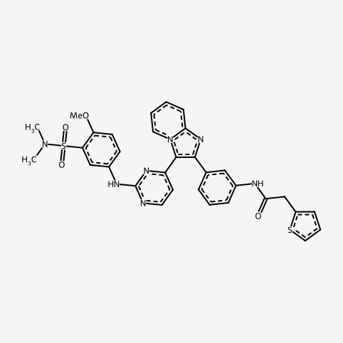 COc1ccc(Nc2nccc(-c3c(-c4cccc(NC(=O)Cc5cccs5)c4)nc4ccccn34)n2)cc1S(=O)(=O)N(C)C